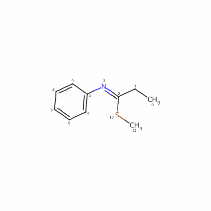 CCC(=Nc1ccccc1)SC